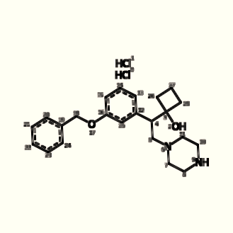 Cl.Cl.OC1(C(CN2CCNCC2)c2cccc(OCc3ccccc3)c2)CCC1